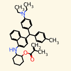 C=C(C)C(=O)OC1CCCCC1Nc1ccc(C(c2ccc(C)cc2)c2ccc(N(CC)CC)cc2)c2ccccc12